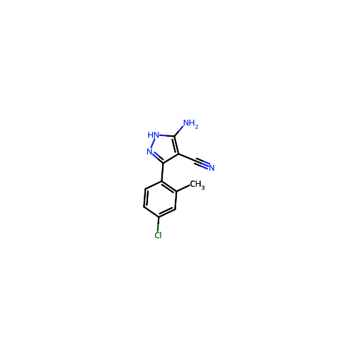 Cc1cc(Cl)ccc1-c1n[nH]c(N)c1C#N